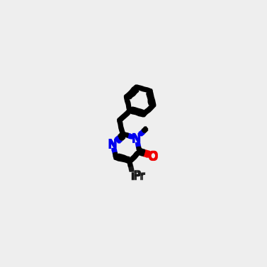 CC(C)c1cnc(Cc2ccccc2)n(C)c1=O